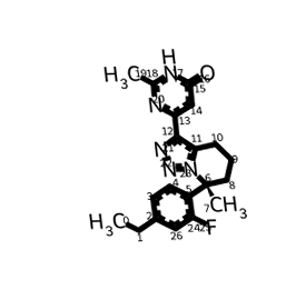 CCc1ccc([C@@]2(C)CCCc3c(-c4cc(=O)[nH]c(C)n4)nnn32)c(F)c1